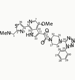 CNCc1nc(-c2ncc(OC)c3c(C(=O)C(=O)N4CCN(c5nnnn5-c5ccccc5)CC4)c[nH]c23)cs1